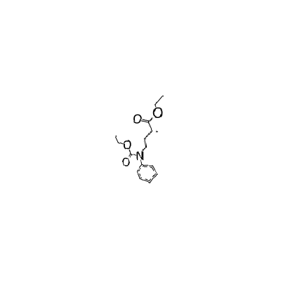 CCOC(=O)[CH]CCN(C(=O)OCC)c1ccccc1